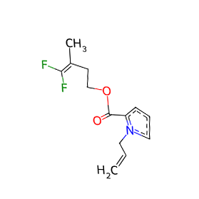 C=CCn1cccc1C(=O)OCCC(C)=C(F)F